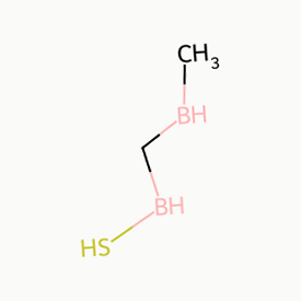 CBCBS